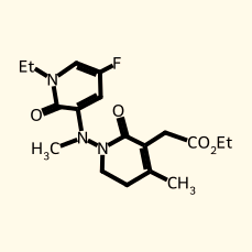 CCOC(=O)CC1=C(C)CCN(N(C)c2cc(F)cn(CC)c2=O)C1=O